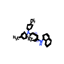 C=C(/C=C\C(=C/C)Nc1cccc2ccccc12)N(c1ccc(C)cc1)c1ccc(C)cc1